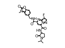 CC(C)N1CC[C@H](NC(=O)c2cc(C(=O)NCc3ccc4oc(=O)n(C)c4c3)nc3c(F)cnn23)C1=O